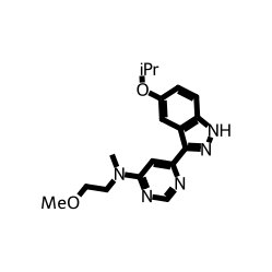 COCCN(C)c1cc(-c2n[nH]c3ccc(OC(C)C)cc23)ncn1